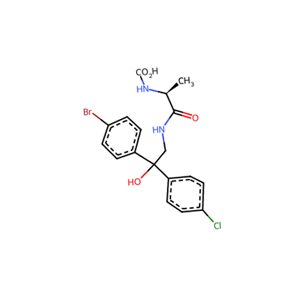 C[C@H](NC(=O)O)C(=O)NCC(O)(c1ccc(Cl)cc1)c1ccc(Br)cc1